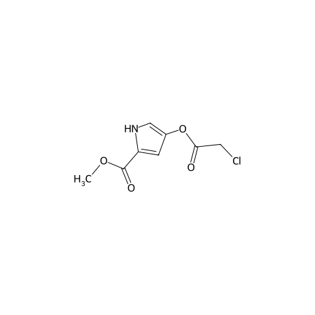 COC(=O)c1cc(OC(=O)CCl)c[nH]1